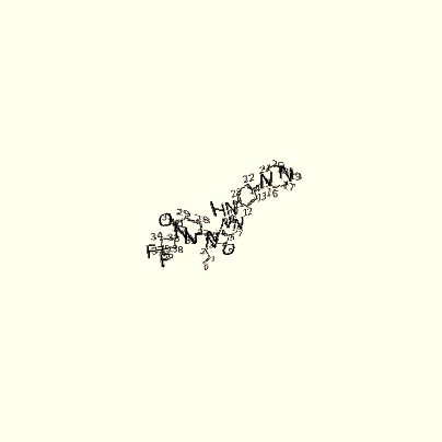 C=CCn1c(=O)c2cnc(Nc3ccc(N4CCN(C)CC4)cc3)nc2n1-c1ccc(=O)n(C2CC(F)(F)C2)n1